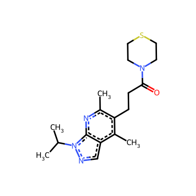 Cc1nc2c(cnn2C(C)C)c(C)c1CCC(=O)N1CCSCC1